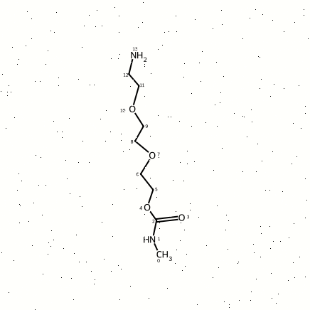 CNC(=O)OCCOCCOCCN